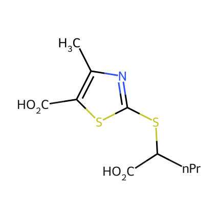 CCCC(Sc1nc(C)c(C(=O)O)s1)C(=O)O